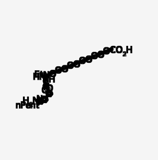 CCCCCc1cc2ccc(-c3cccc(S(=O)(=O)N4CC(CN/C(=N\CCOCCOCCOCCOCCOCCOCCOCCOCCOCCOCCC(=O)O)NCC)C4)c3)cc2nc1N